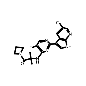 CC(C)(Nc1nc(-c2c[nH]c3ncc(Cl)cc23)ncc1F)C(=O)N1CCC1